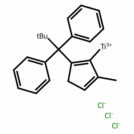 CC1=CCC(C(c2ccccc2)(c2ccccc2)C(C)(C)C)=[C]1[Ti+3].[Cl-].[Cl-].[Cl-]